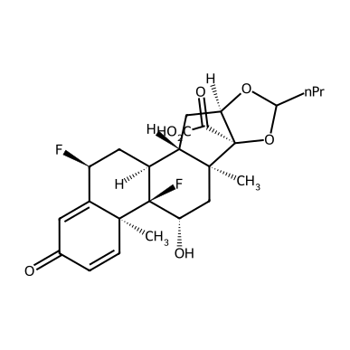 CCCC1O[C@@H]2C[C@H]3[C@@H]4C[C@H](F)C5=CC(=O)C=C[C@]5(C)[C@@]4(F)[C@@H](O)C[C@]3(C)[C@]2(C(=O)C(=O)O)O1